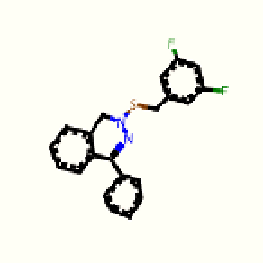 Fc1cc(F)cc(CSN2Cc3ccccc3C(c3ccccc3)=N2)c1